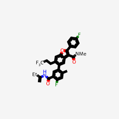 C=C(CC)NC(=O)c1cc(-c2cc3c(C(=O)NC)c(-c4ccc(F)cc4)oc3cc2CCC(F)(F)F)c(C)cc1F